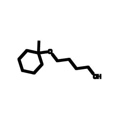 CC1(OCCCCO)CCCCC1